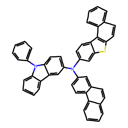 c1ccc(-n2c3ccccc3c3cc(N(c4ccc5c(ccc6ccccc65)c4)c4ccc5c(c4)sc4ccc6ccccc6c45)ccc32)cc1